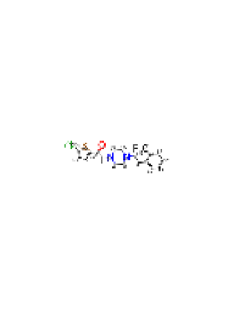 O=C(CN1CCN(CCc2ccccc2C(F)(F)F)CC1)c1ccc(Cl)s1